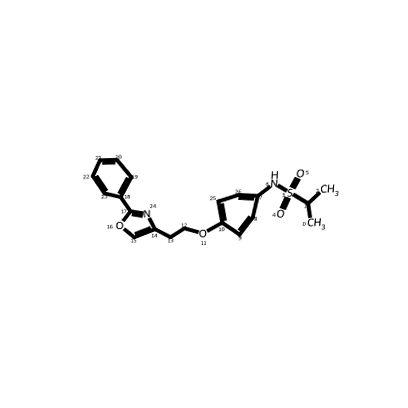 CC(C)S(=O)(=O)Nc1ccc(OCCc2coc(-c3ccccc3)n2)cc1